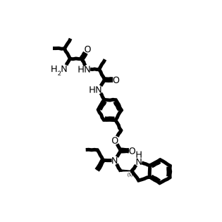 C=C(CC)N(C[C@@H]1Cc2ccccc2N1)C(=O)OCc1ccc(NC(=O)C(C)NC(=O)C(N)C(C)C)cc1